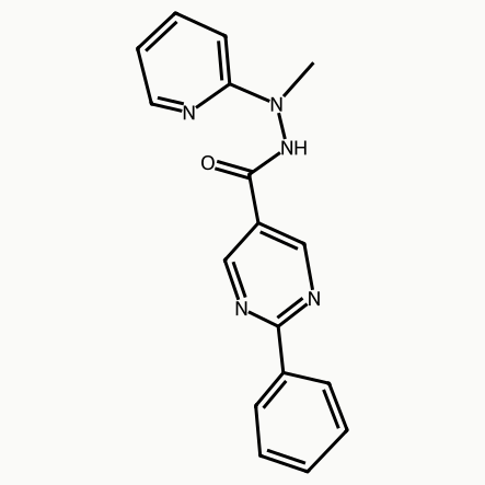 CN(NC(=O)c1cnc(-c2ccccc2)nc1)c1ccccn1